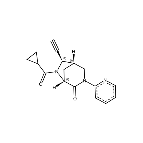 C#C[C@H]1[C@H]2C[C@H](C(=O)N(c3ccccn3)C2)N1C(=O)C1CC1